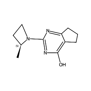 C[C@H]1CCN1c1nc(O)c2c(n1)CCC2